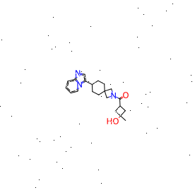 CC1(O)CC(C(=O)N2CC3(CCC(c4cnc5ccccn45)CC3)C2)C1